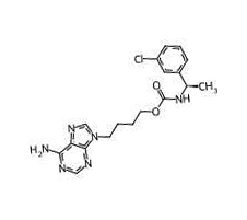 C[C@@H](NC(=O)OCCCCn1cnc2c(N)ncnc21)c1cccc(Cl)c1